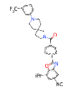 [C-]#[N+]c1cc(C(C)C)c2oc(-c3ccc(C(=O)N4CCC5(CCN(c6cccc(C(F)(F)F)c6)CC5)C4)cc3)nc2c1